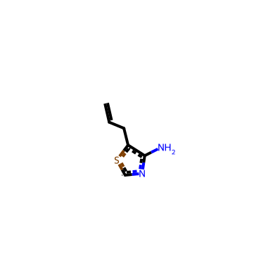 C=CCc1s[c]nc1N